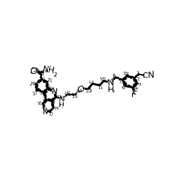 N#CCc1cc(F)cc(CNCCCCOCCNc2nc3cc(C(N)=O)ccc3c3cnccc23)c1